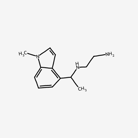 CC(NCCN)c1cccc2c1ccn2C